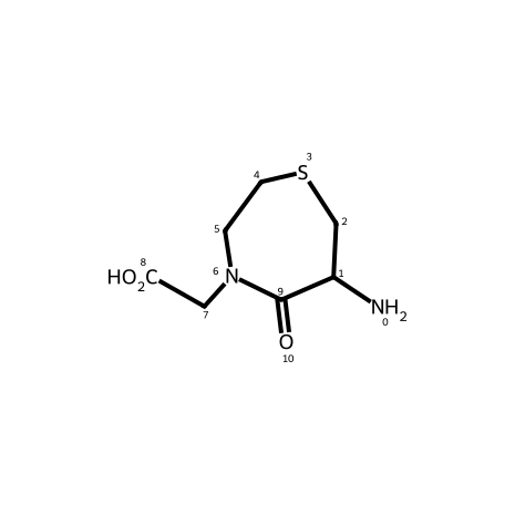 NC1CSCCN(CC(=O)O)C1=O